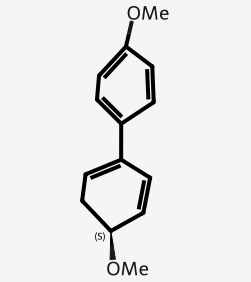 COc1ccc(C2=CC[C@H](OC)C=C2)cc1